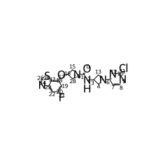 O=C(NC1CN(c2ccnc(Cl)n2)C1)N1CC(Oc2cc(F)cc3ncsc23)C1